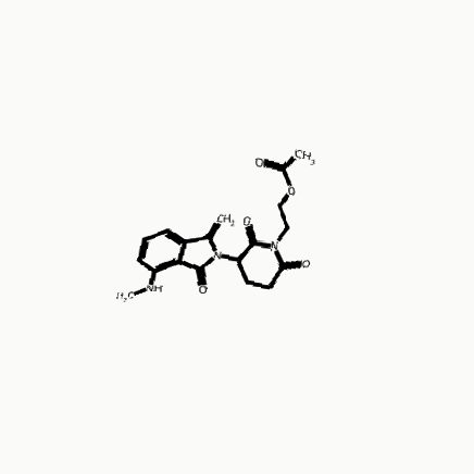 C=C1c2cccc(NC)c2C(=O)N1C1CCC(=O)N(CCOC(C)=O)C1=O